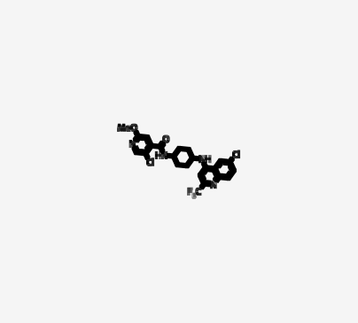 COc1cc(C(=O)NC2CCC(Nc3cc(C(F)(F)F)nc4ccc(Cl)cc34)CC2)c(Cl)cn1